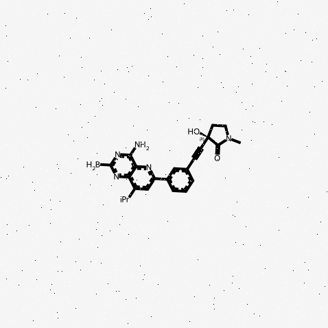 Bc1nc(N)c2nc(-c3cccc(C#C[C@]4(O)CCN(C)C4=O)c3)cc(C(C)C)c2n1